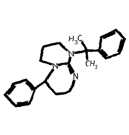 CC(C)(c1ccccc1)N1CCCN2C1=NCCC2c1ccccc1